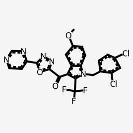 COc1ccc2c(c1)c(C(=O)c1nnc(-c3ccncn3)o1)c(C(F)(F)F)n2Cc1ccc(Cl)cc1Cl